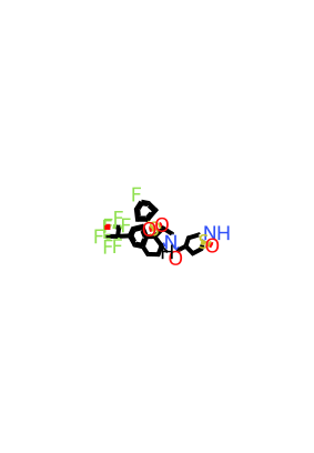 N=S1(=O)CCC(C(=O)N2CC[C@@]3(S(=O)(=O)c4ccc(F)cc4)c4ccc(C(F)(C(F)(F)F)C(F)(F)F)cc4CC[C@@H]23)CC1